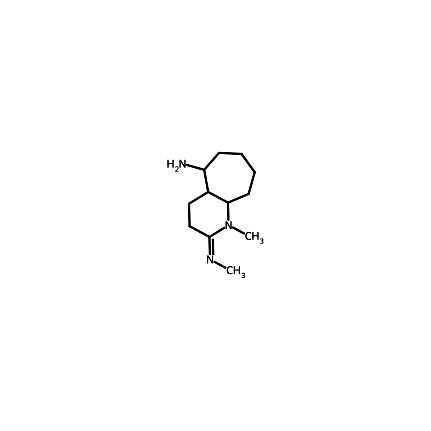 C/N=C1/CCC2C(N)CCCCC2N1C